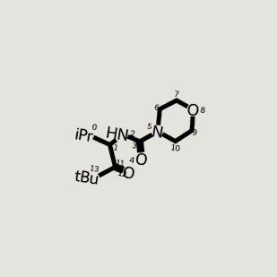 CC(C)C(NC(=O)N1CCOCC1)C(=O)C(C)(C)C